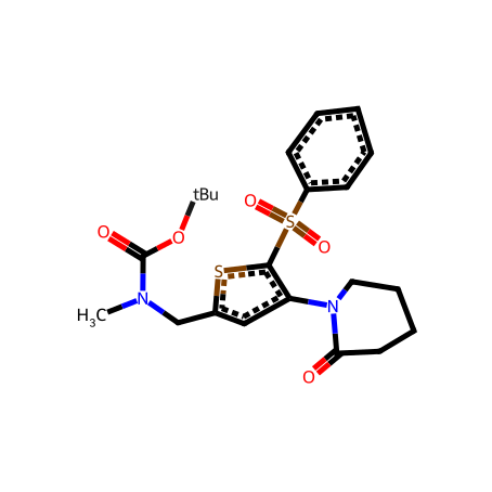 CN(Cc1cc(N2CCCCC2=O)c(S(=O)(=O)c2ccccc2)s1)C(=O)OC(C)(C)C